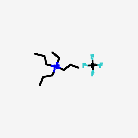 CCC[N+](CC)(CCC)CCC.F[B-](F)(F)F